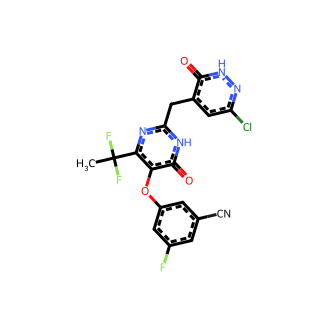 CC(F)(F)c1nc(Cc2cc(Cl)n[nH]c2=O)[nH]c(=O)c1Oc1cc(F)cc(C#N)c1